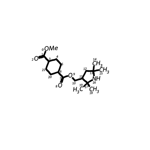 COC(=O)C1CCC(C(=O)OCC2CC(C)(C)NC2(C)C)CC1